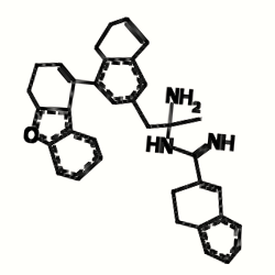 CC(N)(Cc1cc2c(c(C3=CCCc4oc5ccccc5c43)c1)CCC=C2)NC(=N)C1=Cc2ccccc2CC1